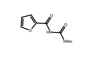 C[N]C(=O)NC(=O)c1ccco1